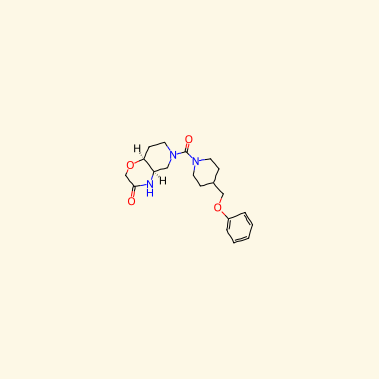 O=C1CO[C@H]2CCN(C(=O)N3CCC(COc4ccccc4)CC3)C[C@H]2N1